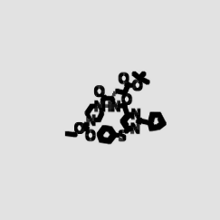 CCOC(=O)N1CCN(C(=O)[C@H](CCC(=O)OC(C)(C)C)NC(=O)c2cc(Sc3ccccc3)nc(-c3ccccc3)n2)CC1